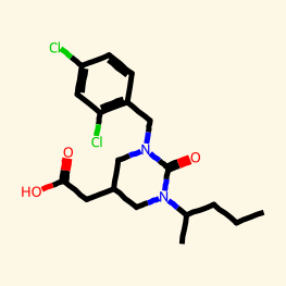 CCCC(C)N1CC(CC(=O)O)CN(Cc2ccc(Cl)cc2Cl)C1=O